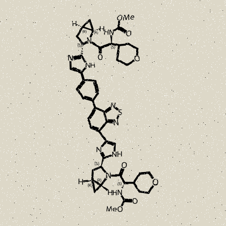 COC(=O)N[C@H](C(=O)N1[C@@H]2C[C@@H]2C[C@H]1c1nc(-c2ccc(-c3ccc(-c4cnc([C@@H]5C[C@H]6C[C@H]6N5C(=O)[C@@H](NC(=O)OC)C5CCOCC5)[nH]4)cc3)c3nsnc23)c[nH]1)C1CCOCC1